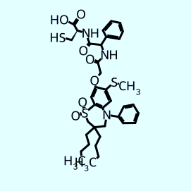 CCCCC1(CCCC)CN(c2ccccc2)c2cc(SC)c(OCC(=O)NC(C(=O)N[C@@H](CS)C(=O)O)c3ccccc3)cc2S(=O)(=O)C1